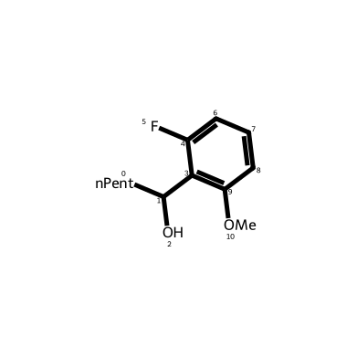 CCCCCC(O)c1c(F)cccc1OC